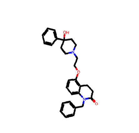 O=C1CCc2c(OCCN3CCC(O)(c4ccccc4)CC3)cccc2N1Cc1ccccc1